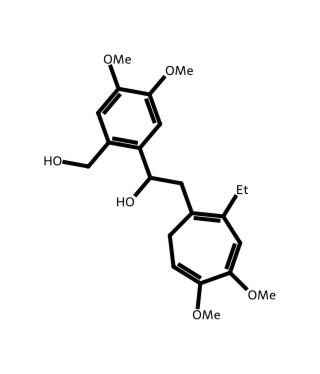 CCC1=C(CC(O)c2cc(OC)c(OC)cc2CO)CC=C(OC)C(OC)=C1